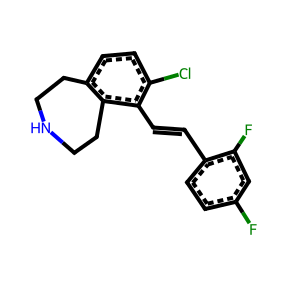 Fc1ccc(C=Cc2c(Cl)ccc3c2CCNCC3)c(F)c1